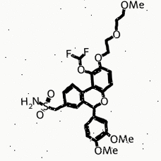 COCCOCCOc1ccc2c(c1OC(F)F)-c1ccc(CS(N)(=O)=O)cc1C(c1ccc(OC)c(OC)c1)O2